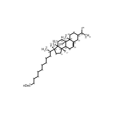 CCCCCCCCCCCCCCCCCCC[C@@H](C)[C@@]1(F)CC[C@@]2(F)C3CC=C4CC(C(C)I)CCC4(C)[C@H]3CCC21C